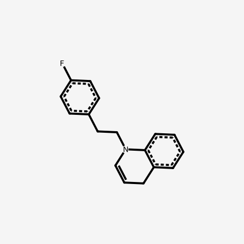 Fc1ccc(CCN2C=CCc3ccccc32)cc1